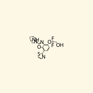 OCC(F)(F)Oc1ccc(-c2nccs2)c2oc(N3CC4CC(C3)N4)nc12